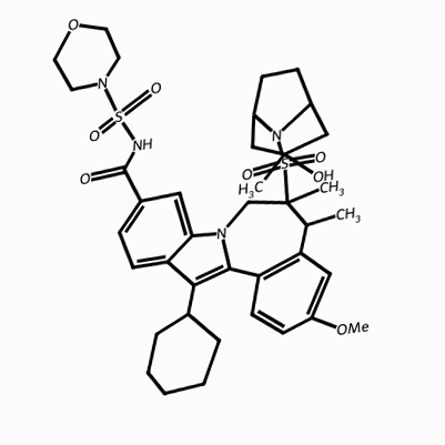 COc1ccc2c(c1)C(C)C(C)(S(=O)(=O)N1C3CCC1CC(C)(O)C3)Cn1c-2c(C2CCCCC2)c2ccc(C(=O)NS(=O)(=O)N3CCOCC3)cc21